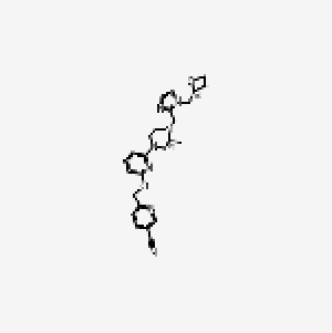 C[C@H]1CN(c2cccc(OCc3ccc(C#N)cn3)n2)CCN1Cc1nccn1C[C@@H]1CCO1